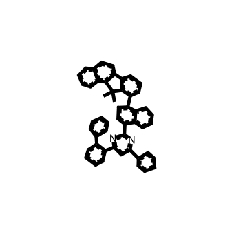 CC1(C)c2c(cccc2-c2ccc(-c3nc(-c4ccccc4)cc(-c4ccccc4-c4ccccc4)n3)c3ccccc23)-c2ccc3ccccc3c21